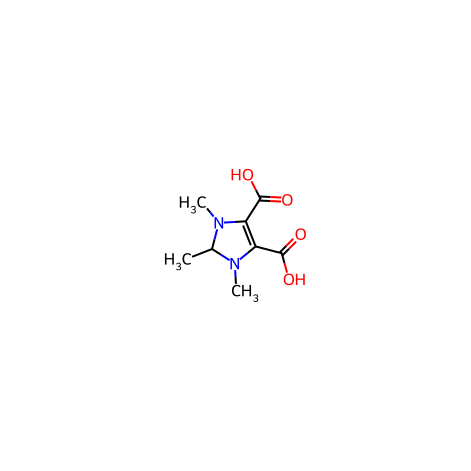 CC1N(C)C(C(=O)O)=C(C(=O)O)N1C